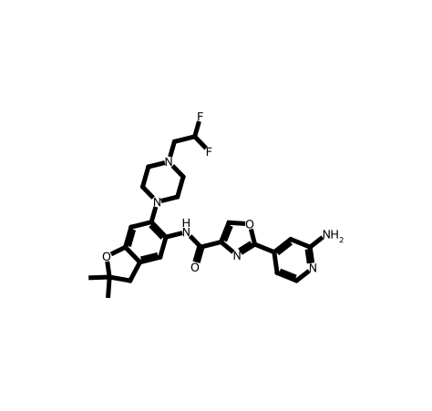 CC1(C)Cc2cc(NC(=O)c3coc(-c4ccnc(N)c4)n3)c(N3CCN(CC(F)F)CC3)cc2O1